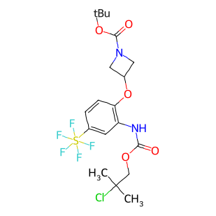 CC(C)(Cl)COC(=O)Nc1cc(S(F)(F)(F)(F)F)ccc1OC1CN(C(=O)OC(C)(C)C)C1